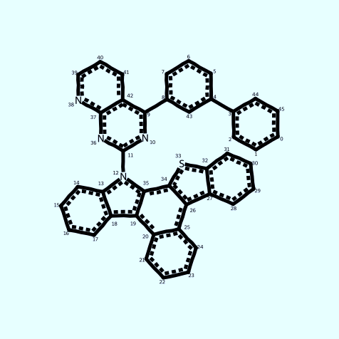 c1ccc(-c2cccc(-c3nc(-n4c5ccccc5c5c6ccccc6c6c7ccccc7sc6c54)nc4ncccc34)c2)cc1